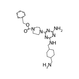 NCC1CCC(CNc2nc(N)nc(N3CCN(C(=O)OCc4ccccc4)CC3)n2)CC1